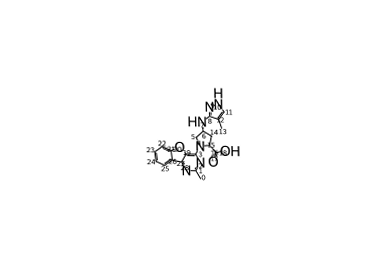 Cc1nc(N2C[C@@H](Nc3n[nH]cc3C)C[C@H]2C(=O)O)c2oc3ccccc3c2n1